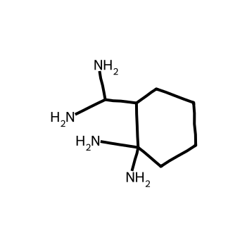 NC(N)C1CCCCC1(N)N